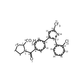 O=C(O)C1SCCN1C(=O)c1ccc(-c2cc(C(F)(F)F)nn2-c2ccccc2Cl)cc1